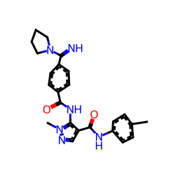 Cc1ccc(NC(=O)c2cnn(C)c2NC(=O)c2ccc(C(=N)N3CCCC3)cc2)cc1